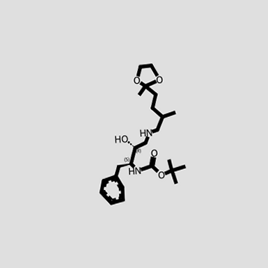 CC(CCC1(C)OCCO1)CNC[C@@H](O)[C@H](Cc1ccccc1)NC(=O)OC(C)(C)C